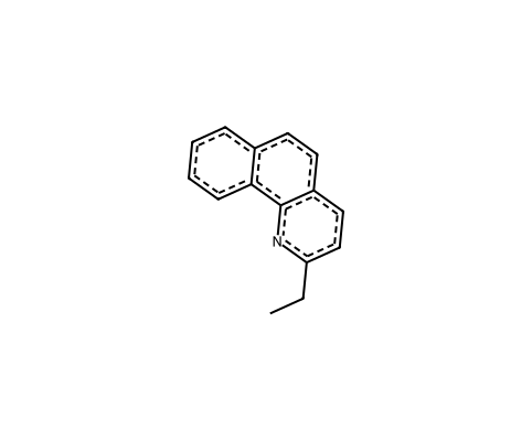 CCc1ccc2ccc3ccccc3c2n1